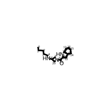 CCCCCNC1CN(C(=O)c2cc3ccccc3[nH]2)C1